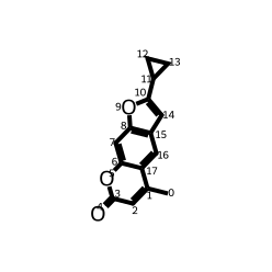 Cc1cc(=O)oc2cc3oc(C4CC4)cc3cc12